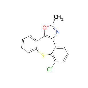 Cc1nc2c(o1)-c1ccccc1Sc1c(Cl)cccc1-2